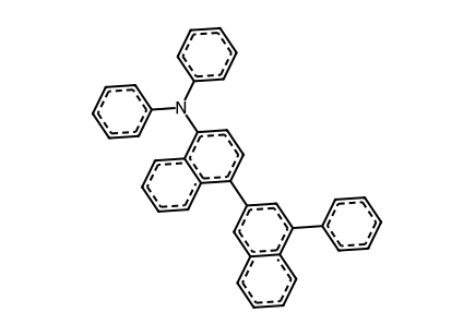 c1ccc(-c2cc(-c3ccc(N(c4ccccc4)c4ccccc4)c4ccccc34)cc3ccccc23)cc1